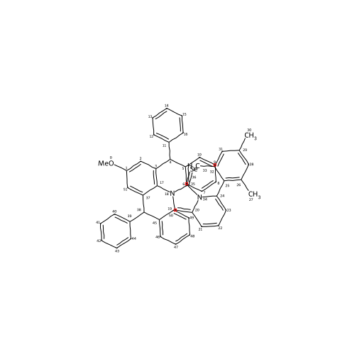 COc1cc(C(c2ccccc2)c2ccccc2)c(-n2cc3cccc(-c4c(C)cc(C)cc4C)n3c2=[Se])c(C(c2ccccc2)c2ccccc2)c1